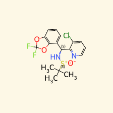 CC(C)(C)[S@@+]([O-])N[C@@H](c1cccc2c1OC(F)(F)O2)c1ncccc1Cl